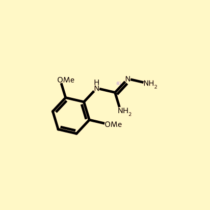 COc1cccc(OC)c1N/C(N)=N/N